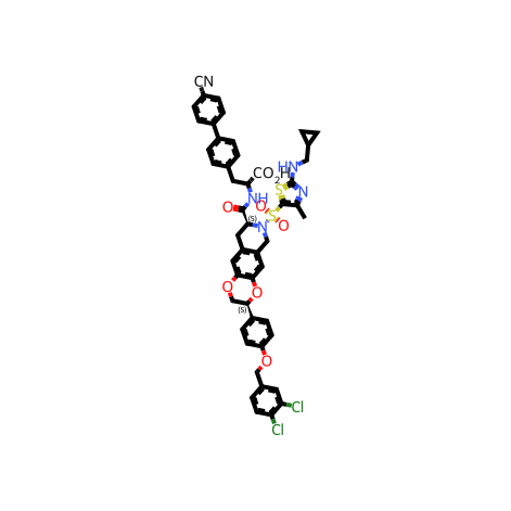 Cc1nc(NCC2CC2)sc1S(=O)(=O)N1Cc2cc3c(cc2C[C@H]1C(=O)NC(Cc1ccc(-c2ccc(C#N)cc2)cc1)C(=O)O)OC[C@H](c1ccc(OCc2ccc(Cl)c(Cl)c2)cc1)O3